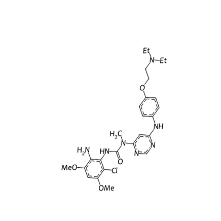 CCN(CC)CCOc1ccc(Nc2cc(N(C)C(=O)Nc3c(N)c(OC)cc(OC)c3Cl)ncn2)cc1